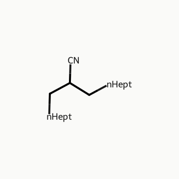 CCCCCCCCC(C#N)CCCCCCCC